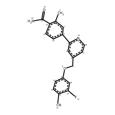 Cc1cc(-c2cc(COc3ccc(C#N)c(F)c3)ccn2)ccc1C(N)=O